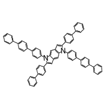 c1ccc(-c2ccc(-c3ccc(-n4c(-c5ccc(-c6ccccc6)cc5)cc5cc6c(cc(-c7ccc(-c8ccccc8)cc7)n6-c6ccc(-c7ccc(-c8ccccc8)cc7)cc6)cc54)cc3)cc2)cc1